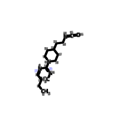 CCC/C=N\C(=N/C)N1CCC(CCN=C=O)CC1